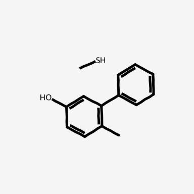 CS.Cc1ccc(O)cc1-c1ccccc1